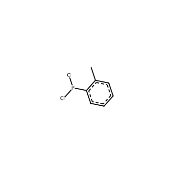 Cc1ccccc1P(Cl)Cl